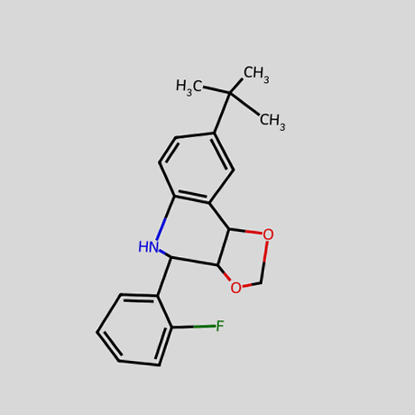 CC(C)(C)c1ccc2c(c1)C1OCOC1C(c1ccccc1F)N2